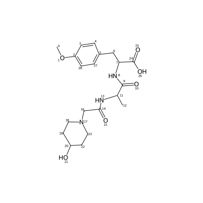 COc1ccc(CC(NC(=O)C(C)NC(=O)CN2CCC(O)CC2)C(=O)O)cc1